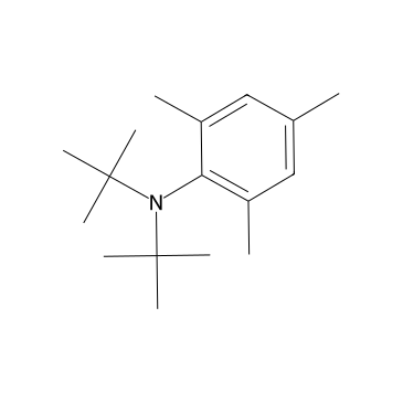 Cc1cc(C)c(N(C(C)(C)C)C(C)(C)C)c(C)c1